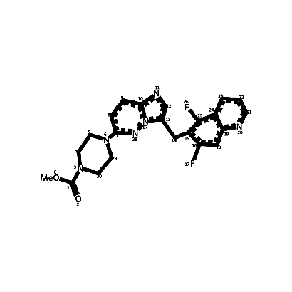 COC(=O)N1CCN(c2ccc3ncc(Cc4c(F)cc5ncccc5c4F)n3n2)CC1